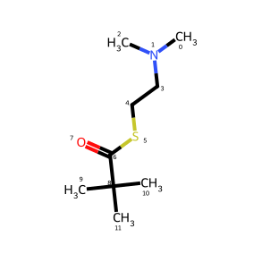 CN(C)CCSC(=O)C(C)(C)C